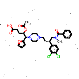 CC(=O)OC(CCC(=O)O)C(c1ccco1)N1CCN(CC[C@H](CN(C)C(=O)c2ccccc2)c2ccc(Cl)c(Cl)c2)CC1